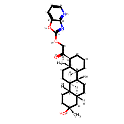 C[C@@]1(O)CC[C@H]2[C@H](CC[C@@H]3[C@@H]2CC[C@]2(C)[C@@H](C(=O)COc4nc5ncccc5o4)CCC[C@@H]32)C1